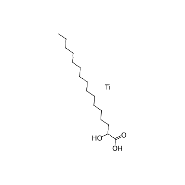 CCCCCCCCCCCCCCC(O)C(=O)O.[Ti]